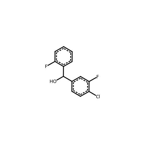 OC(c1ccc(Cl)c(F)c1)c1ccccc1F